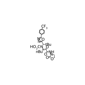 CCCC[C@@H](C(=O)C(=O)NN1CCOC1=O)N(C(=O)O)C(c1nnc(-c2ccc(C(F)(F)F)cc2)o1)C(C)(C)C